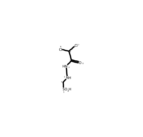 O=C(NNCS(=O)(=O)O)C(Cl)Cl